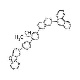 CC1(C)c2cc(-c3ccc4ccc(-c5cc6ccccc6c6ccccc56)cc4c3)ccc2-c2ccc(-c3ccc4oc5ccccc5c4c3)cc21